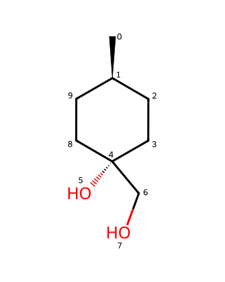 C[C@H]1CC[C@@](O)(CO)CC1